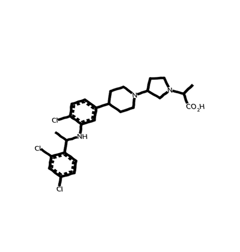 CC(Nc1cc(C2CCN(C3CCN(C(C)C(=O)O)C3)CC2)ccc1Cl)c1ccc(Cl)cc1Cl